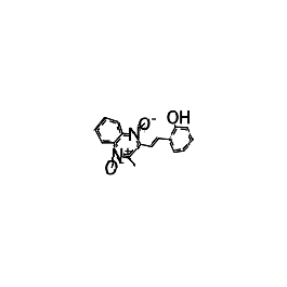 Cc1c(/C=C/c2ccccc2O)[n+]([O-])c2ccccc2[n+]1[O-]